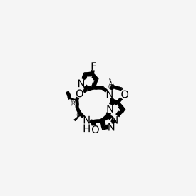 CC[C@@H]1C[C@H](C)NC(=O)c2cnn3cc4c(nc23)N(Cc2cc(F)cnc2O1)[C@H](C)CO4